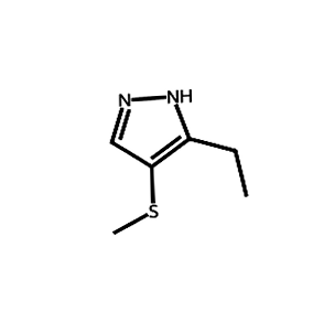 CCc1[nH]ncc1SC